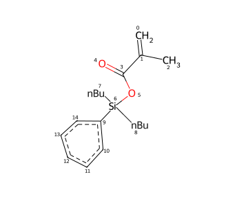 C=C(C)C(=O)O[Si](CCCC)(CCCC)c1ccccc1